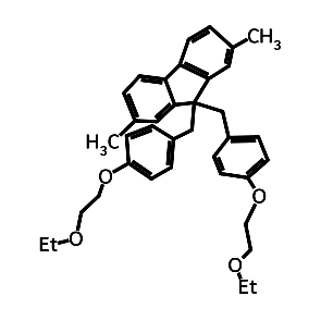 CCOCCOc1ccc(CC2(Cc3ccc(OCCOCC)cc3)c3cc(C)ccc3-c3ccc(C)cc32)cc1